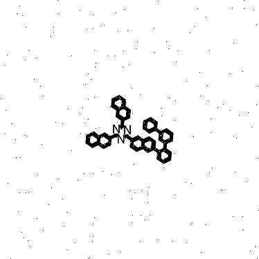 c1ccc(-c2cccc(-c3ccccc3-c3ccc4cc(-c5nc(-c6ccc7ccccc7c6)nc(-c6ccc7ccccc7c6)n5)ccc4c3)c2)cc1